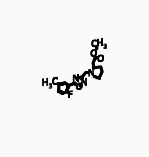 CCOC(=O)CC1CCCCN1Cc1noc(-c2cc(C)ccc2F)n1